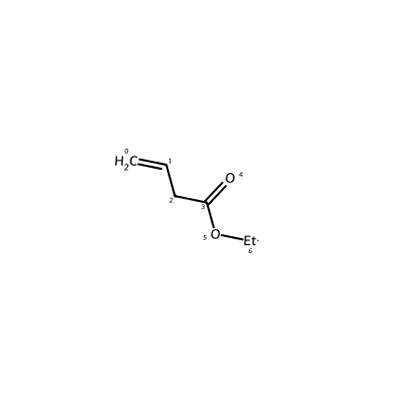 C=CCC(=O)O[CH]C